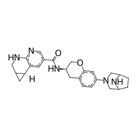 O=C(N[C@H]1COc2cc(N3CC4CCC(C3)N4)ccc2C1)c1cnc2c(c1)[C@H]1CC1CN2